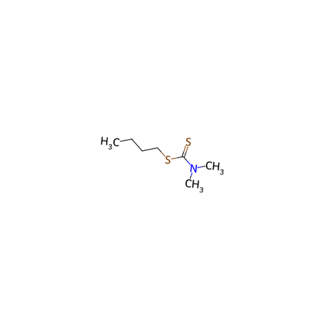 CCCCSC(=S)N(C)C